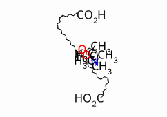 CN(C)CC(C)(C)CC(C)(C)CC(=O)OC(CCCCCCCC/C=C\C/C=C\CCCCC(=O)O)CCCCCCCC/C=C\C/C=C\CCCCC(=O)O